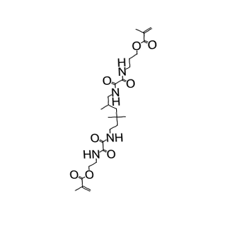 C=C(C)C(=O)OCCCNC(=O)C(=O)NCC(C)CC(C)(C)CCNC(=O)C(=O)NCCOC(=O)C(=C)C